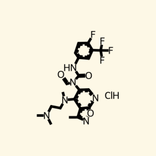 Cc1noc2ncc(N(C=O)C(=O)Nc3ccc(F)c(C(F)(F)F)c3)c(N(C)CCN(C)C)c12.Cl